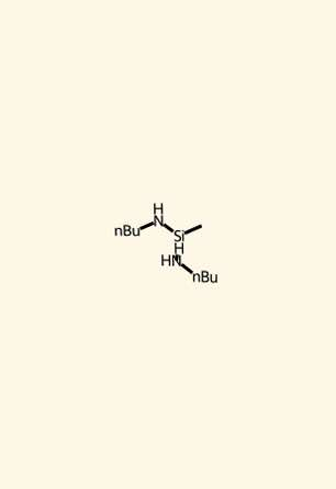 CCCCN[SiH](C)NCCCC